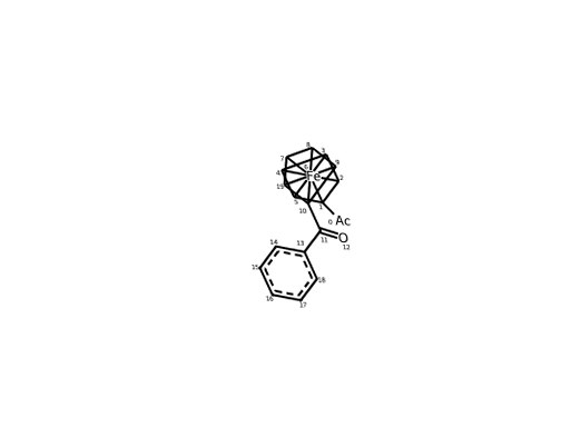 CC(=O)[C]12[CH]3[CH]4[CH]5[CH]1[Fe]45321678[CH]2[CH]1[CH]6[C]7(C(=O)c1ccccc1)[CH]28